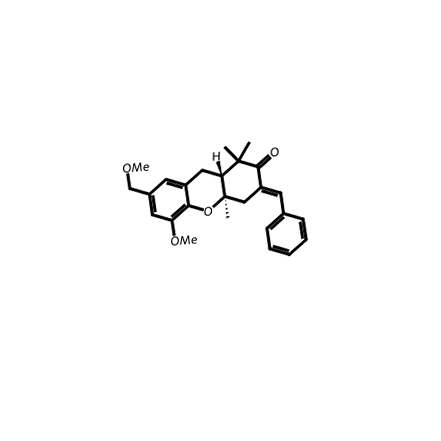 COCc1cc2c(c(OC)c1)O[C@]1(C)C/C(=C\c3ccccc3)C(=O)C(C)(C)[C@H]1C2